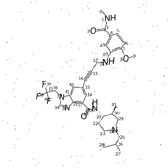 CNC(=O)c1ccc(OC)c(NCC#Cc2cc(C(=O)N[C@H]3CCN(CC(C)C)C[C@@H]3C)c3ncn(CC(F)(F)F)c3c2)c1